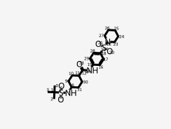 CC(C)(C)S(=O)(=O)NC1CCC(C(=O)Nc2ccc(S(=O)(=O)N3CCCCC3)cc2)CC1